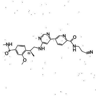 CNC(=O)c1ccc([C@H](C)CNc2cc(-c3ccc(C(=O)NCCC#N)nc3)ncn2)c(OC)c1